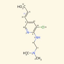 CN(C)CCNc1ncc(/C=C/C(=O)O)cc1Cl